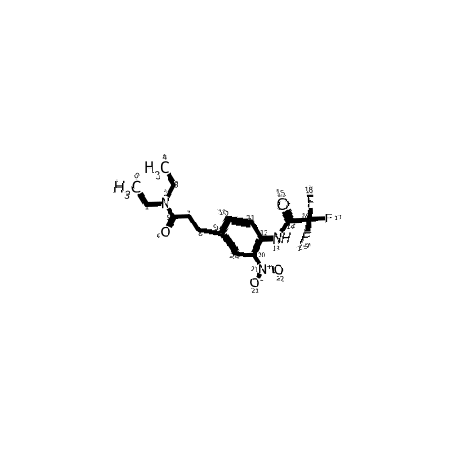 CCN(CC)C(=O)CCc1ccc(NC(=O)C(F)(F)F)c([N+](=O)[O-])c1